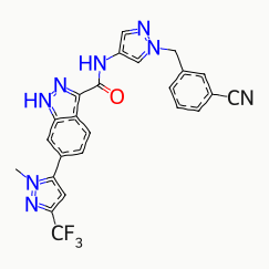 Cn1nc(C(F)(F)F)cc1-c1ccc2c(C(=O)Nc3cnn(Cc4cccc(C#N)c4)c3)n[nH]c2c1